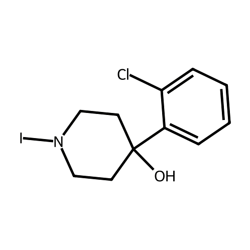 OC1(c2ccccc2Cl)CCN(I)CC1